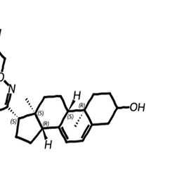 C=CCON=C(C)[C@H]1CC[C@H]2C3=CC=C4CC(O)CC[C@]4(C)[C@H]3CC[C@]12C